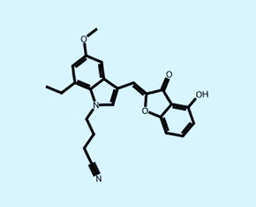 CCc1cc(OC)cc2c(C=C3Oc4cccc(O)c4C3=O)cn(CCCC#N)c12